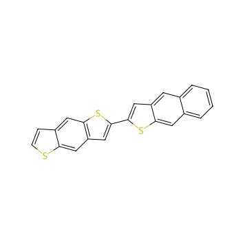 c1ccc2cc3sc(-c4cc5cc6sccc6cc5s4)cc3cc2c1